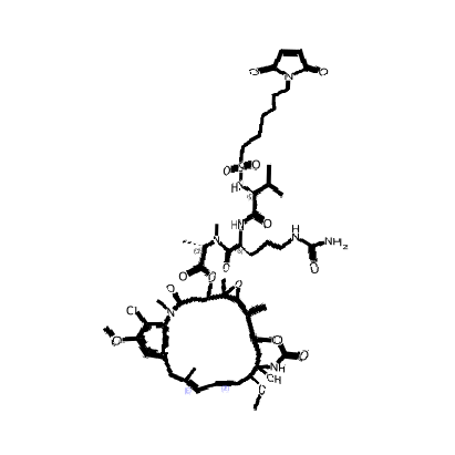 COc1cc2cc(c1Cl)N(C)C(=O)CC(OC(=O)[C@H](C)N(C)C(=O)[C@H](CCCNC(N)=O)NC(=O)[C@@H](NS(=O)(=O)CCCCCCN1C(=O)C=CC1=O)C(C)C)C1(C)OC1C(C)C1CC(O)(NC(=O)O1)C(OC)/C=C/C=C(\C)C2